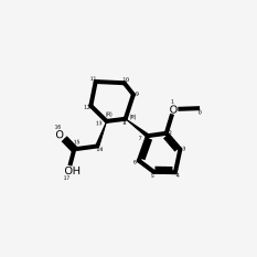 COc1ccccc1[C@@H]1CCCC[C@@H]1CC(=O)O